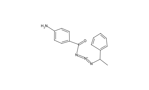 CC(N=[N+]=NC(=O)c1ccc(N)cc1)c1ccccc1